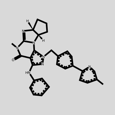 Cc1ccc(-c2ccc(Cn3nc(Nc4ccccc4)c4c3N3C(=N[C@@H]5CCC[C@@H]53)N(C)C4=O)cc2)nc1